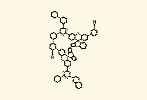 N#Cc1cccc(-c2ccc3c(c2)Sc2cc(-c4nc(-c5cccc(-c6ccccc6)c5)cc(-c5cccc(-c6ccc(C#N)c(-c7ccc8c(c7)Sc7cc(-c9cc(-c%10ccc%11ccccc%11c%10)nc(-c%10ccccc%10)n9)ccc7C87c8ccccc8-c8ccccc87)c6)c5)n4)ccc2C32c3ccccc3-c3ccccc32)c1